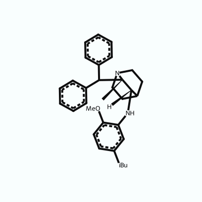 CCC(C)c1ccc(OC)c(N[C@H]2C3CCN(CC3)[C@@]2(C)C(c2ccccc2)c2ccccc2)c1